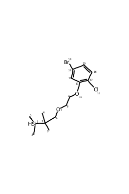 C[SiH](C)C(C)(C)COCCOc1cc(Br)ccc1Cl